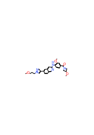 COCCCn1cc(-c2ccc3cnc(Nc4ccc(C(=O)N5CC(OC)C5)cc4OC)cc3c2)cn1